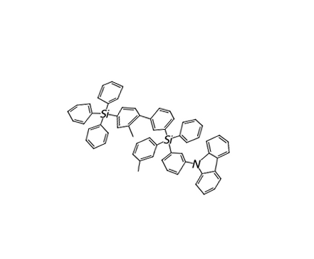 Cc1cccc([Si](c2ccccc2)(c2cccc(-c3ccc([Si](c4ccccc4)(c4ccccc4)c4ccccc4)cc3C)c2)c2cccc(-n3c4ccccc4c4ccccc43)c2)c1